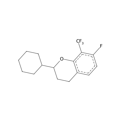 Fc1ccc2c(c1C(F)(F)F)OC(C1CCCCC1)CC2